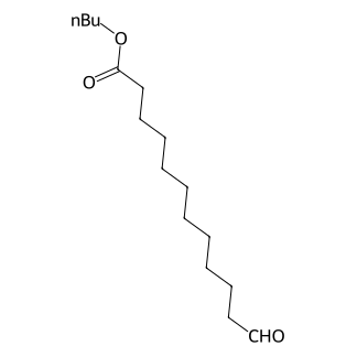 CCCCOC(=O)CCCCCCCCCCC=O